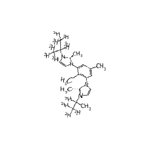 [2H]C([2H])([2H])C([2H])(C)N1C=CN(c2cc(C)cc(N3C=CN(C([2H])(C([2H])([2H])[2H])C([2H])([2H])[2H])[C@H]3C)c2C)[C@H]1C